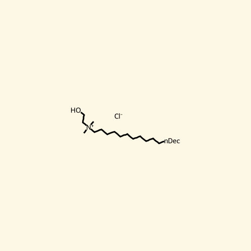 CCCCCCCCCCCCCCCCCCCCC[N+](C)(C)CCO.[Cl-]